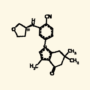 Cc1cn(-c2ccc(C#N)c(N[C@H]3CCOC3)c2)c2c1C(=O)CC(C)(C)C2